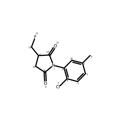 Cc1ccc(Cl)c(N2C(=O)CC(CF)C2=O)c1